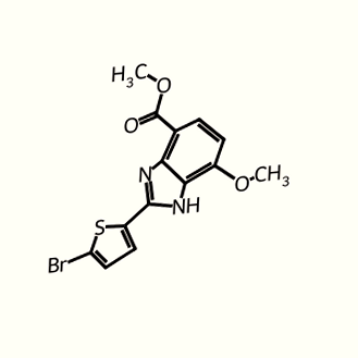 COC(=O)c1ccc(OC)c2[nH]c(-c3ccc(Br)s3)nc12